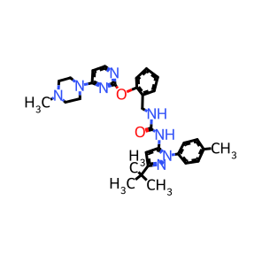 Cc1ccc(-n2nc(C(C)(C)C)cc2NC(=O)NCc2ccccc2Oc2nccc(N3CCN(C)CC3)n2)cc1